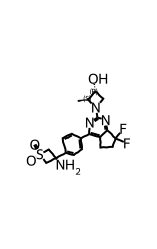 C[C@H]1[C@H](O)CN1c1nc(-c2ccc(C3(N)CS(=O)(=O)C3)cc2)c2c(n1)C(F)(F)CC2